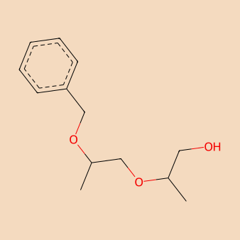 CC(CO)OCC(C)OCc1ccccc1